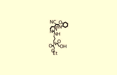 CCOCC(=O)N(CCCNc1nccc(C(C#N)=C2Nc3ccccc3O2)n1)C(=O)CO